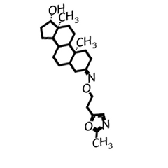 Cc1ncc(CCON=C2CC[C@@]3(C)C(CCC4C3CC[C@@]3(C)C4CC[C@@H]3O)C2)o1